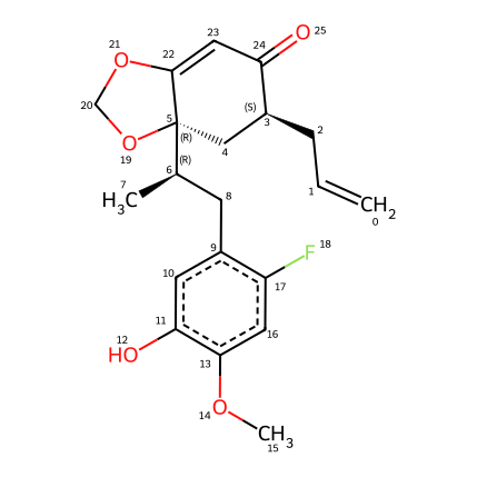 C=CC[C@H]1C[C@]2([C@H](C)Cc3cc(O)c(OC)cc3F)OCOC2=CC1=O